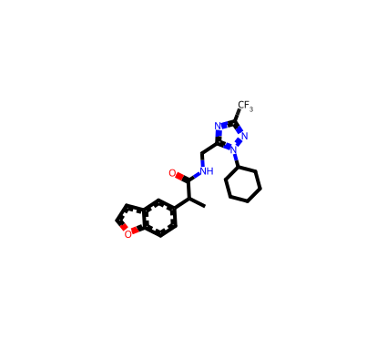 CC(C(=O)NCc1nc(C(F)(F)F)nn1C1CCCCC1)c1ccc2occc2c1